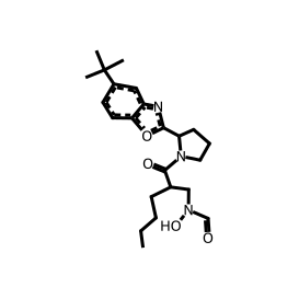 CCCCC(CN(O)C=O)C(=O)N1CCCC1c1nc2cc(C(C)(C)C)ccc2o1